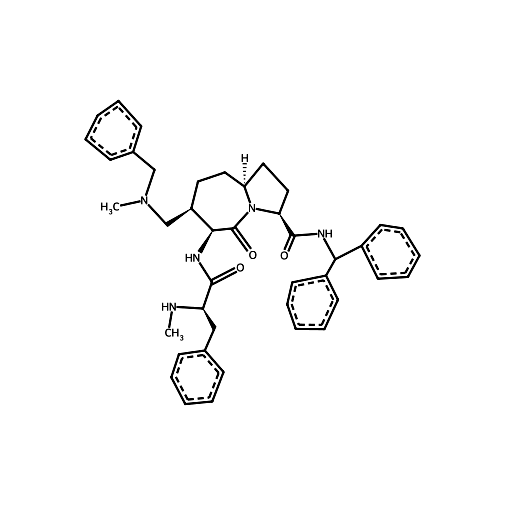 CN[C@H](Cc1ccccc1)C(=O)N[C@@H]1C(=O)N2[C@@H](CC[C@@H]1CN(C)Cc1ccccc1)CC[C@H]2C(=O)NC(c1ccccc1)c1ccccc1